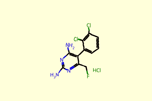 Cl.Nc1nc(N)c(-c2cccc(Cl)c2Cl)c(CF)n1